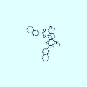 CC12CCC(CP)(CC1)C(OC(=O)c1ccc3c(c1)CCCC3)C2OC(=O)c1ccc2c(c1)CCCC2